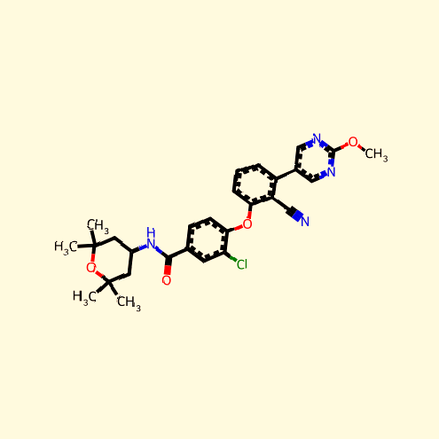 COc1ncc(-c2cccc(Oc3ccc(C(=O)NC4CC(C)(C)OC(C)(C)C4)cc3Cl)c2C#N)cn1